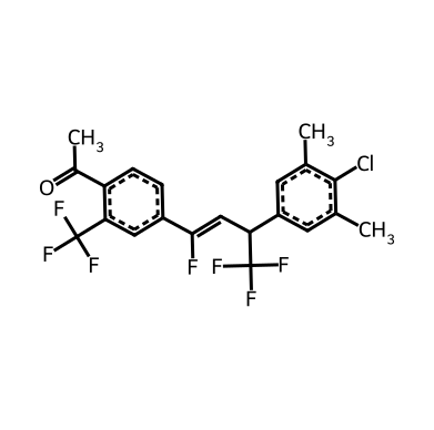 CC(=O)c1ccc(/C(F)=C/C(c2cc(C)c(Cl)c(C)c2)C(F)(F)F)cc1C(F)(F)F